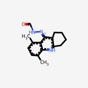 Cc1ccc(C)c2/c(=N\NC=O)c3c([nH]c12)CCCC3